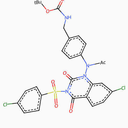 CC(=O)N(c1ccc(CNC(=O)OC(C)(C)C)cc1)n1c(=O)n(S(=O)(=O)c2ccc(Cl)cc2)c(=O)c2ccc(Cl)cc21